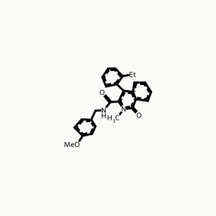 CCc1ccccc1-c1c(C(=O)NCc2ccc(OC)cc2)n(C)c(=O)c2ccccc12